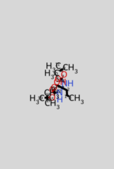 CCCC(NC(=O)OC(C)(C)C)(NC(=O)OC(C)(C)C)C(=O)O